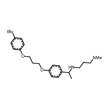 CNCCCNC(C)c1ccc(OCCCOc2ccc(C(C)(C)C)cc2)cc1